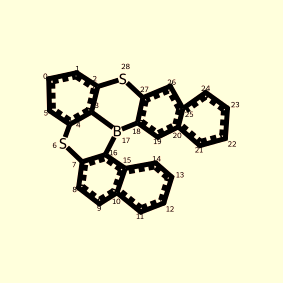 c1cc2c3c(c1)Sc1ccc4ccccc4c1B3c1cc3ccccc3cc1S2